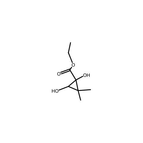 CCOC(=O)C1(O)C(O)C1(C)C